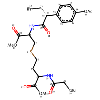 COC(=O)C(CCSCC(NC(=O)[C@H](CC(C)C)c1ccc(OC(C)=O)cc1)C(=O)OC)NC(=O)CC(C)(C)C